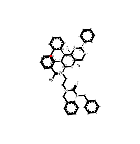 O=C(O)c1ccccc1[C@@H]1[C@H](OCCN(Cc2ccccc2)C(=O)OCc2ccccc2)O[C@@H]2CO[C@@H](c3ccccc3)O[C@@H]2[C@@H]1c1ccccc1C(=O)O